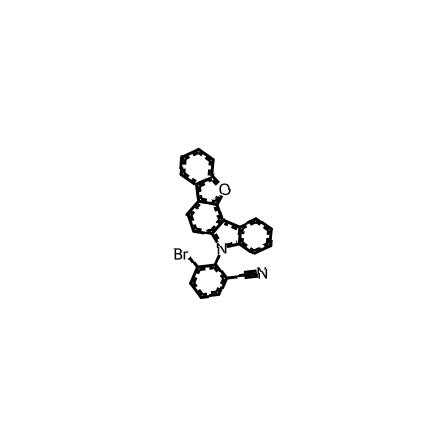 N#Cc1cccc(Br)c1-n1c2ccccc2c2c3oc4ccccc4c3ccc21